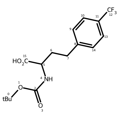 CC(C)(C)OC(=O)NC(CCc1ccc(C(F)(F)F)cc1)C(=O)O